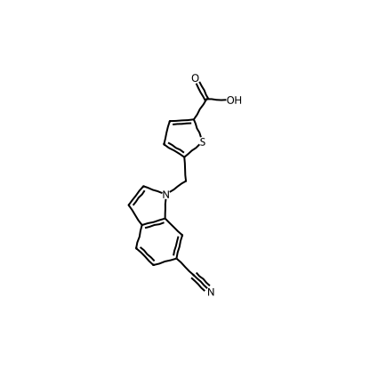 N#Cc1ccc2ccn(Cc3ccc(C(=O)O)s3)c2c1